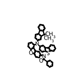 CC1(C)c2ccccc2-c2ccc(N(c3ccc4sc5ccccc5c4c3)c3cccc4oc5cc6oc(-c7ccccc7)nc6cc5c34)cc21